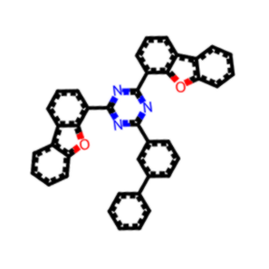 c1ccc(-c2cccc(-c3nc(-c4cccc5c4oc4ccccc45)nc(-c4cccc5c4oc4ccccc45)n3)c2)cc1